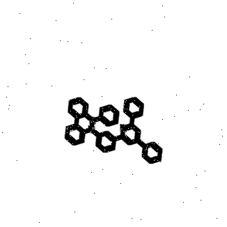 c1ccc(B2c3ccccc3-c3ccccc3N2c2cccc(-c3cc(-c4ccccc4)cc(-c4ccccc4)n3)c2)cc1